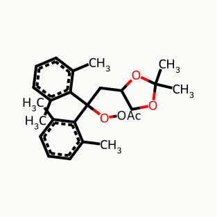 CC(=O)OOC(CC1COC(C)(C)O1)(c1c(C)cccc1C)c1c(C)cccc1C